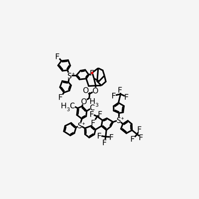 Cc1cc([S+](c2ccccc2)c2cccc(-c3c(C(F)(F)F)cc([S+](c4ccc(C(F)(F)F)cc4)c4ccc(C(F)(F)F)cc4)cc3C(F)(F)F)c2)cc(C)c1OCC(=O)OC1(Cc2cc([S+](c3ccc(F)cc3)c3ccc(F)cc3)ccc2F)C2CC3CC(C2)CC1C3